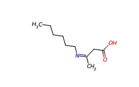 CCCCCCN=C(C)CC(=O)O